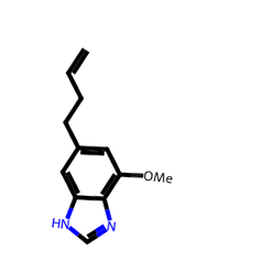 C=CCCc1cc(OC)c2nc[nH]c2c1